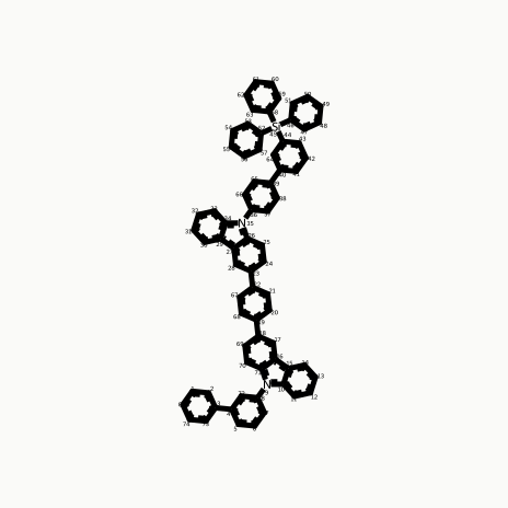 c1ccc(-c2cccc(-n3c4ccccc4c4cc(-c5ccc(-c6ccc7c(c6)c6ccccc6n7-c6ccc(-c7cccc([Si](c8ccccc8)(c8ccccc8)c8ccccc8)c7)cc6)cc5)ccc43)c2)cc1